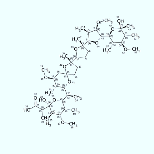 CO[C@@H]1[C@H](C)[C@H]([C@]2(C)CC[C@H]([C@]3(C)CC[C@]4(C[C@H](OC)[C@@H](C)[C@@H]([C@@H](C)[C@H]5O[C@](O)([C@H](C)C(=O)O)[C@H](C)[C@@H](OC)[C@H]5C)O4)O3)O2)O[C@H]1[C@H]1O[C@](C)(O)[C@H](C)[C@@H](OC)[C@@H]1C